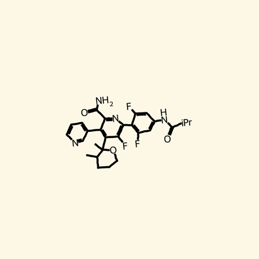 CC(C)C(=O)Nc1cc(F)c(-c2nc(C(N)=O)c(-c3cccnc3)c(C3(C)OCCCC3C)c2F)c(F)c1